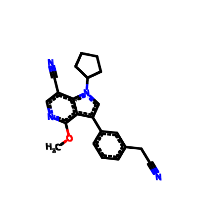 COc1ncc(C#N)c2c1c(-c1cccc(CC#N)c1)cn2C1CCCC1